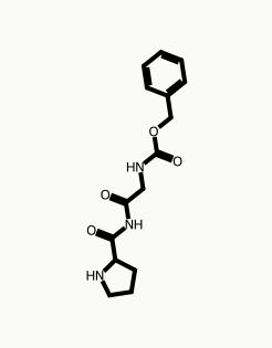 O=C(CNC(=O)OCc1ccccc1)NC(=O)C1CCCN1